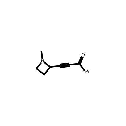 CC(C)C(=O)C#CC1CCN1C